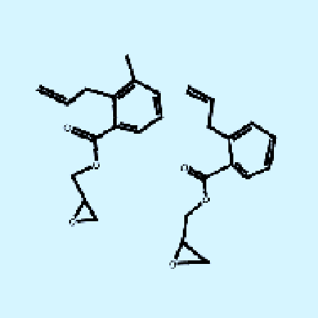 C=CCc1c(C)cccc1C(=O)OCC1CO1.C=CCc1ccccc1C(=O)OCC1CO1